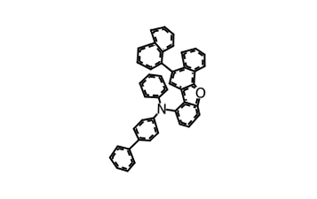 c1ccc(-c2ccc(N(c3ccccc3)c3cccc4oc5c6ccccc6c(-c6cccc7ccccc67)cc5c34)cc2)cc1